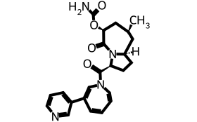 C[C@H]1C[C@H]2CC[C@@H](C(=O)N3C=CC=CC(c4cccnc4)=C3)N2C(=O)[C@@H](OC(N)=O)C1